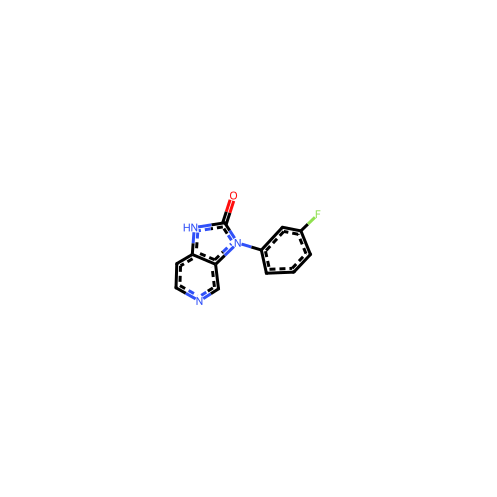 O=c1[nH]c2ccncc2n1-c1cccc(F)c1